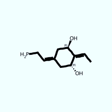 CC=C1[C@H](O)CC(=CCP)C[C@H]1O